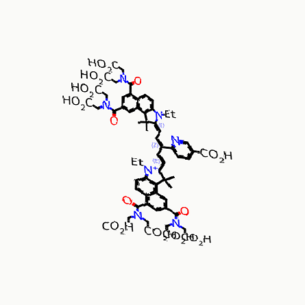 CCN1/C(=C/C=C(/C=C/C2=[N+](CC)c3ccc4c(C(=O)N(CC(=O)O)CC(=O)O)cc(C(=O)N(CC(=O)O)CC(=O)O)cc4c3C2(C)C)c2ccc(C(=O)O)cn2)C(C)(C)c2c1ccc1c(C(=O)N(CC(=O)O)CC(=O)O)cc(C(=O)N(CC(=O)O)CC(=O)O)cc21